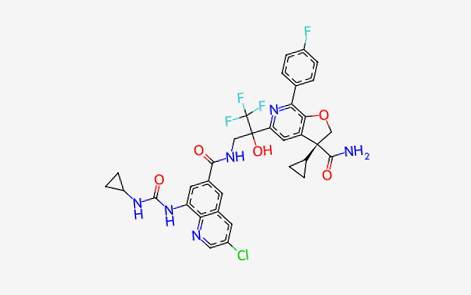 NC(=O)[C@@]1(C2CC2)COc2c1cc(C(O)(CNC(=O)c1cc(NC(=O)NC3CC3)c3ncc(Cl)cc3c1)C(F)(F)F)nc2-c1ccc(F)cc1